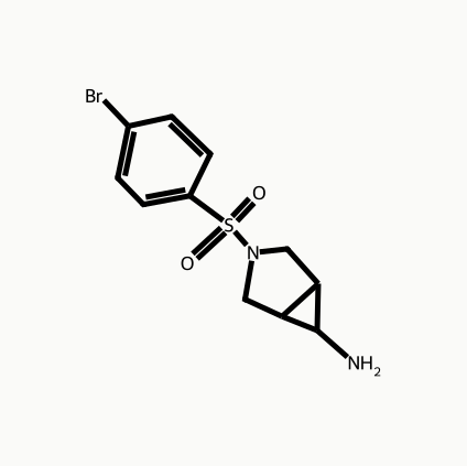 NC1C2CN(S(=O)(=O)c3ccc(Br)cc3)CC12